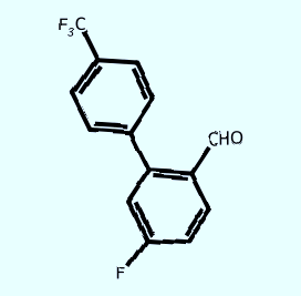 O=Cc1ccc(F)cc1-c1ccc(C(F)(F)F)cc1